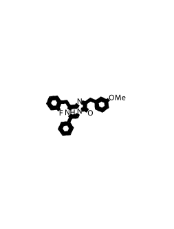 COc1cccc(Cc2nc3c(Cc4ccccc4F)[nH]c(-c4ccccc4)cn-3c2=O)c1